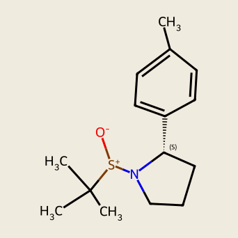 Cc1ccc([C@@H]2CCCN2[S+]([O-])C(C)(C)C)cc1